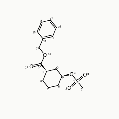 CS(=O)(=O)O[C@H]1CCC[C@@H](C(=O)OCc2ccccc2)C1